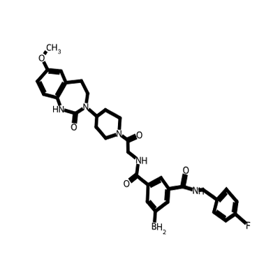 Bc1cc(C(=O)NCC(=O)N2CCC(N3CCc4cc(OC)ccc4NC3=O)CC2)cc(C(=O)NCc2ccc(F)cc2)c1